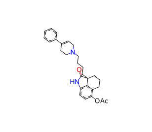 CC(=O)Oc1ccc2c3c1CCCC3(CCCCN1CC=C(c3ccccc3)CC1)C(=O)N2